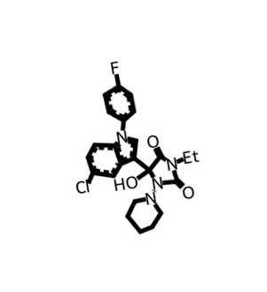 CCN1C(=O)N(N2CCCCC2)C(O)(c2cn(-c3ccc(F)cc3)c3ccc(Cl)cc23)C1=O